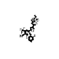 CCS(=O)(=O)c1ncc(-c2coc(-c3cc(C(F)(F)F)c(C#N)c(=O)n3Cc3ccc(F)cc3F)c2)cc1C